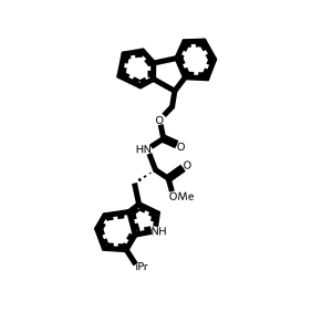 COC(=O)[C@H](Cc1c[nH]c2c(C(C)C)cccc12)NC(=O)OCC1c2ccccc2-c2ccccc21